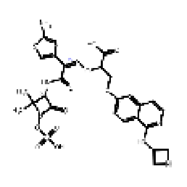 CC1(C)[C@H](NC(=O)/C(=N\OC(COc2ccc3c(NC4CNC4)nccc3c2)C(=O)O)c2csc(N)n2)C(=O)N1OS(=O)(=O)O